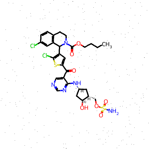 CCCCOC(=O)N1CCc2ccc(Cl)cc2C1c1cc(C(=O)c2cncnc2N[C@@H]2C[C@H](COS(N)(=O)=O)[C@@H](O)C2)sc1Cl